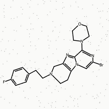 Fc1ccc(CCN2CCc3c(nc4c(N5CCOCC5)nc(Br)cn34)C2)cc1